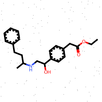 CCOC(=O)Cc1ccc(C(O)CNC(C)CCc2ccccc2)cc1